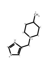 CC1CCN(Cc2cscn2)CC1